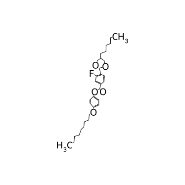 CCCCCCCCCOc1ccc(OC(=O)c2ccc(C3OCC(CCCCCC)CO3)c(F)c2)cc1